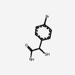 [NH]C(=O)C(S)c1ccc(Br)cc1